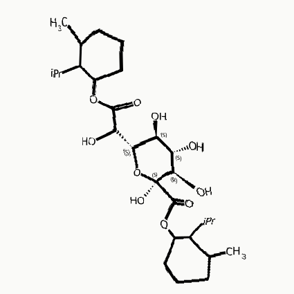 CC(C)C1C(C)CCCC1OC(=O)C(O)[C@H]1O[C@](O)(C(=O)OC2CCCC(C)C2C(C)C)[C@H](O)[C@@H](O)[C@@H]1O